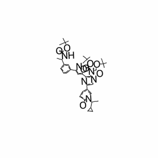 CC(NC(=O)OC(C)(C)C)c1cccc(-c2cc(-c3nc(-c4ccc(=O)n(C(C)C5CC5)c4)cnc3N(C(=O)OC(C)(C)C)C(=O)OC(C)(C)C)on2)c1